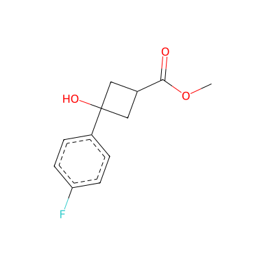 COC(=O)C1CC(O)(c2ccc(F)cc2)C1